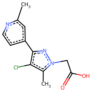 Cc1cc(-c2nn(CC(=O)O)c(C)c2Cl)ccn1